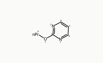 CCCOc1ncccn1